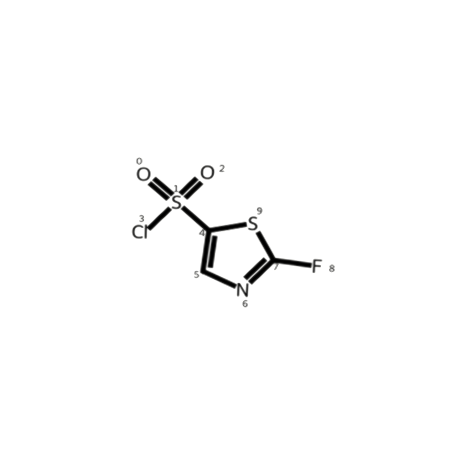 O=S(=O)(Cl)c1cnc(F)s1